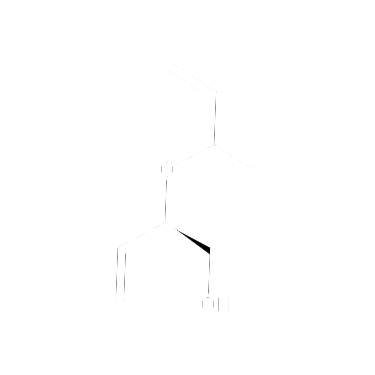 C=CC(C)O[C@H](C=C)CO